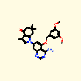 COc1cc(COc2cc(-n3cc(C)c4c3CC(C)(C)CC4=O)cc3ncnc(N)c23)cc(OC)c1